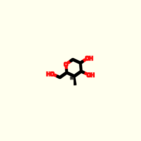 C[C@H]1C(CO)OCC(O)C1O